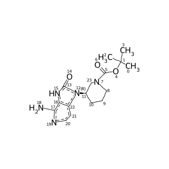 CC(C)(C)OC(=O)N1CCC[C@@H](n2c(=O)[nH]c3c(N)nccc32)C1